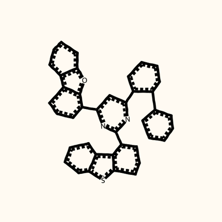 c1ccc(-c2ccccc2-c2cc(-c3cccc4c3oc3ccccc34)nc(-c3cccc4sc5ccccc5c34)n2)cc1